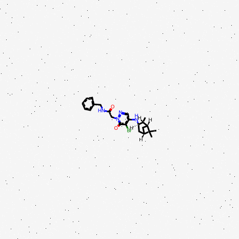 C[C@@H]1[C@H]2C[C@@H](C[C@H]1Nc1cnn(CC(=O)NCc3ccccc3)c(=O)c1Br)C2(C)C